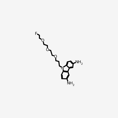 Nc1ccc2c(c1)c1cc(N)ccc1n2CCCOCCOCCOCCF